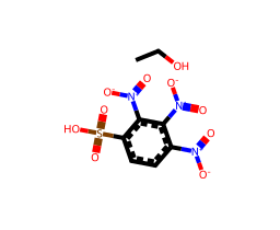 CCO.O=[N+]([O-])c1ccc(S(=O)(=O)O)c([N+](=O)[O-])c1[N+](=O)[O-]